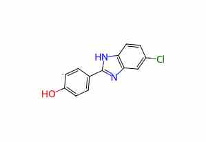 Oc1[c]cc(-c2nc3cc(Cl)ccc3[nH]2)cc1